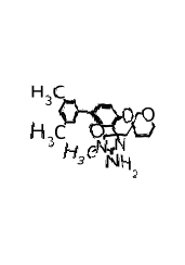 Cc1cc(C)cc(-c2ccc3c(c2)C2(CC4(CCCOC4)O3)N=C(N)N(C)C2=O)c1